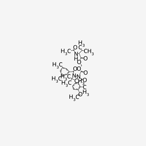 COc1cccc(C(=O)N(C(=O)OCOC(=O)C(NC(C)=O)C(C)C)N(C(=O)c2cc(C)cc(C)c2)C(C)(C)C)c1C